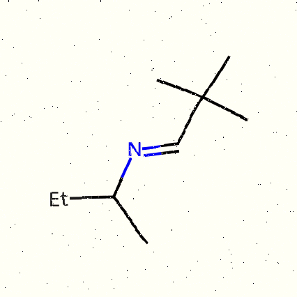 CCC(C)/N=C/C(C)(C)C